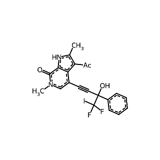 CC(=O)c1c(C)[nH]c2c(=O)n(C)cc(C#CC(O)(c3ccccc3)C(F)(F)I)c12